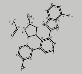 N#Cc1cccc(-c2cncc(-c3nc4c(F)cccc4[nH]3)c2N2C[C@H](C(N)=O)[C@@H](N)C2)c1